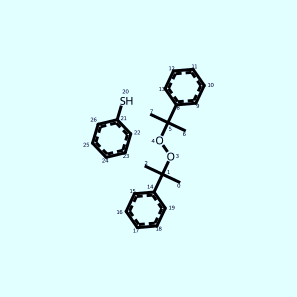 CC(C)(OOC(C)(C)c1ccccc1)c1ccccc1.Sc1ccccc1